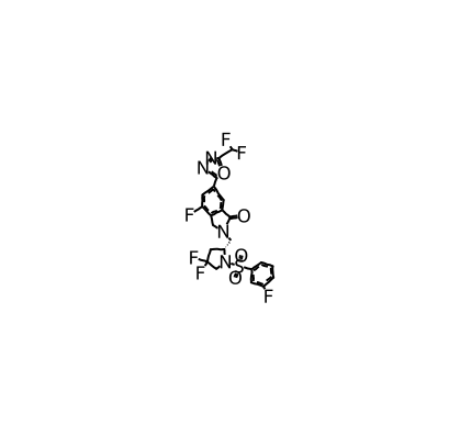 O=C1c2cc(-c3nnc(C(F)F)o3)cc(F)c2CN1C[C@H]1CC(F)(F)CN1S(=O)(=O)c1cccc(F)c1